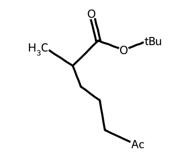 CC(=O)CCCC(C)C(=O)OC(C)(C)C